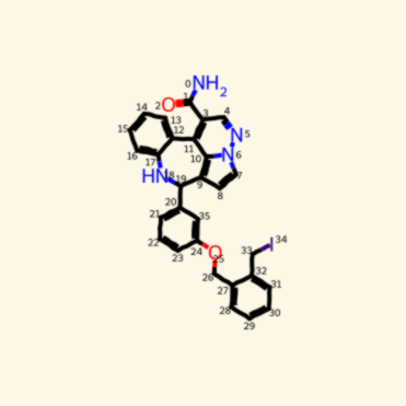 NC(=O)c1cnn2ccc3c2c1-c1ccccc1NC3c1cccc(OCc2ccccc2CI)c1